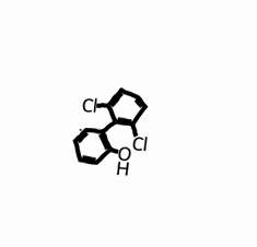 Oc1ccc[c]c1-c1c(Cl)cccc1Cl